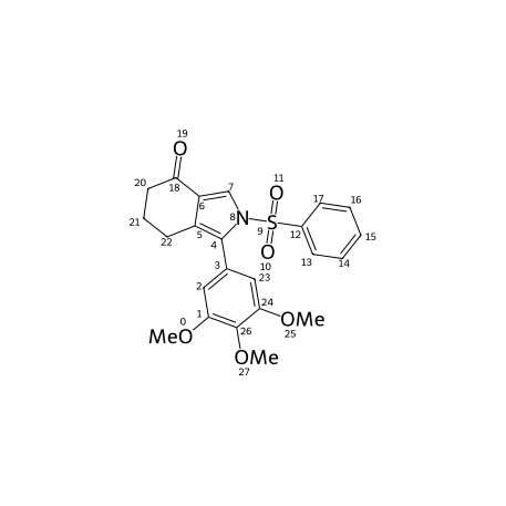 COc1cc(-c2c3c(cn2S(=O)(=O)c2ccccc2)C(=O)CCC3)cc(OC)c1OC